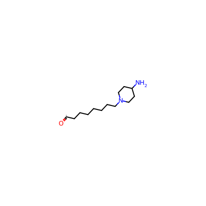 NC1CCN(CCCCCCC[C]=O)CC1